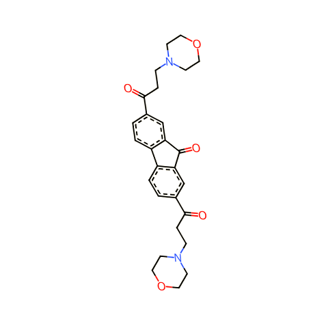 O=C(CCN1CCOCC1)c1ccc2c(c1)C(=O)c1cc(C(=O)CCN3CCOCC3)ccc1-2